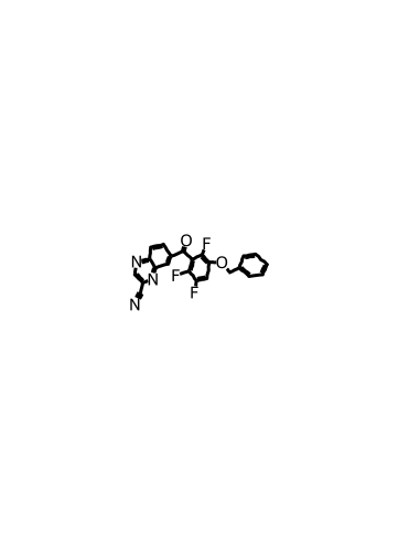 N#Cc1cnc2ccc(C(=O)c3c(F)c(F)cc(OCc4ccccc4)c3F)cc2n1